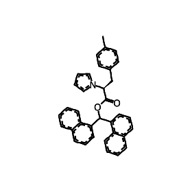 Cc1ccc(C[C@@H](C(=O)OC(c2cccc3ccccc23)c2cccc3ccccc23)n2cccc2)cc1